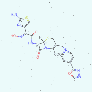 Nc1nc(C(=NO)C(=O)N[C@@H]2C(=O)N3C(C(=O)[O-])=C(C[n+]4ccc(-c5nnco5)cc4)CS[C@@H]23)cs1